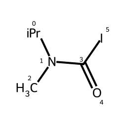 CC(C)N(C)C(=O)I